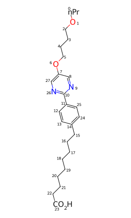 CCCOCCCCOc1cnc(-c2ccc(CCCCCCCCC(=O)O)cc2)nc1